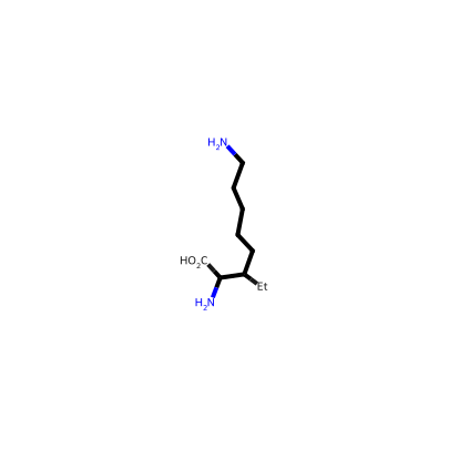 CCC(CCCCCN)C(N)C(=O)O